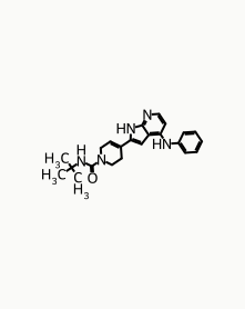 CC(C)(C)NC(=O)N1CC=C(c2cc3c(Nc4ccccc4)ccnc3[nH]2)CC1